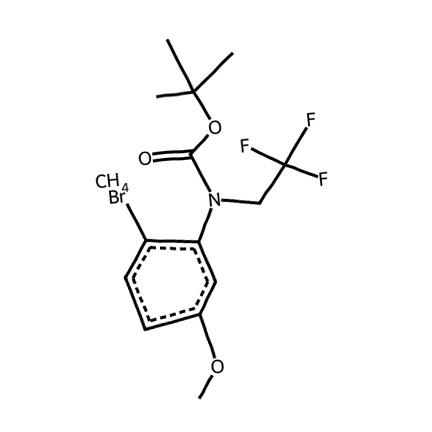 C.COc1ccc(Br)c(N(CC(F)(F)F)C(=O)OC(C)(C)C)c1